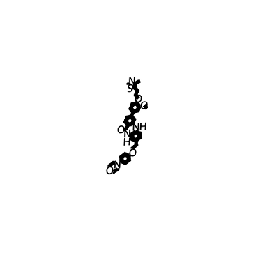 COc1cc(-c2ccc3c(c2)Nc2ccc(CCOc4ccc(N5CCOCC5)cc4)cc2NC3=O)ccc1OCCc1scnc1C